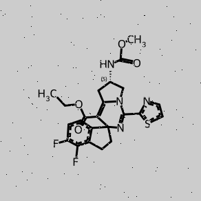 CCOC(=O)C1=C2C[C@H](NC(=O)OC)CN2C(c2nccs2)=NC12CCc1c2ccc(F)c1F